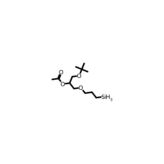 CC(=O)OC(COCCC[SiH3])COC(C)(C)C